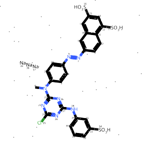 CN(c1ccc(N=Nc2ccc3c(S(=O)(=O)O)cc(S(=O)(=O)O)cc3c2)cc1)c1nc(Cl)nc(Nc2cccc(S(=O)(=O)O)c2)n1.[Na].[Na].[Na]